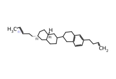 C=CCCc1ccc2c(c1)CCC(C1CCC3C[C@H](CC/C=C/C)CC[C@@H]3C1)C2